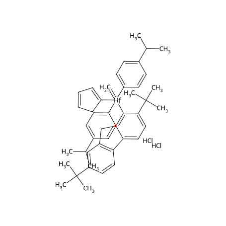 Cl.Cl.[CH2]=[Hf]([C]1=CC=CC1)([c]1ccc(C(C)C)cc1)([c]1ccc(C(C)C)cc1)[c]1c(C(C)(C)C)ccc2c1Cc1cc(C(C)(C)C)ccc1-2